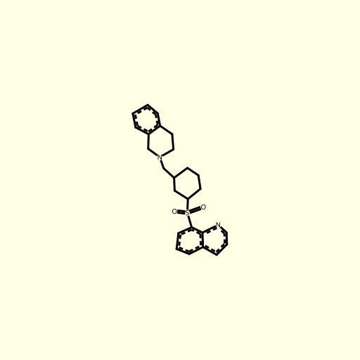 O=S(=O)(c1cccc2cccnc12)C1CCCC(CN2CCc3ccccc3C2)C1